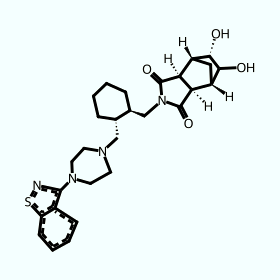 O=C1[C@H]2[C@H]3C[C@H](C(O)[C@H]3O)[C@H]2C(=O)N1C[C@@H]1CCCC[C@H]1CN1CCN(c2nsc3ccccc23)CC1